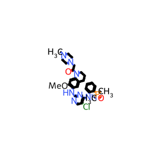 COc1cc2c(cc1Nc1ncc(Cl)c(Nc3ccccc3P(C)(C)=O)n1)CCCN2C(=O)CN1CCN(C)CC1